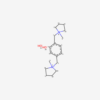 C[N+]1(Cc2ccc(C[N+]3(C)CCCC3)cc2)CCCC1.[OH-].[OH-]